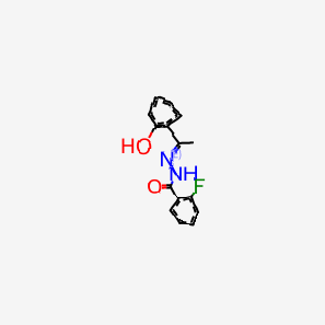 C/C(=N\NC(=O)c1ccccc1F)c1ccccc1O